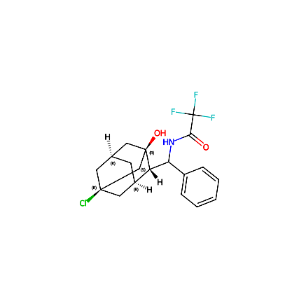 O=C(NC(c1ccccc1)[C@@H]1[C@@H]2C[C@H]3C[C@@](Cl)(C2)C[C@]1(O)C3)C(F)(F)F